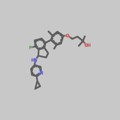 Cc1cc(OCCC(C)(C)O)cc(C)c1-c1ccc(F)c2c1CCC2Nc1ccc(C2CC2)nc1